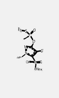 CCCCCCS(=O)(=O)c1c(Cl)c(OP(C)(=O)SCC)nn1CCC